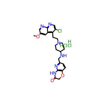 COc1cnc2ncc(Cl)c(CCN3CCC(NCc4ccc5c(n4)NC(=O)CO5)CC3)c2c1.Cl.Cl